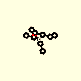 c1ccc(-c2ccc(N(c3ccc(-c4ccccc4)cc3)c3cc(-c4ccc5ccccc5c4)ccc3-c3ccc4ccccc4c3)cc2)cc1